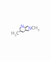 Cc1cnc2cn(C)cc2c1